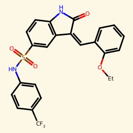 CCOc1ccccc1C=C1C(=O)Nc2ccc(S(=O)(=O)Nc3ccc(C(F)(F)F)cc3)cc21